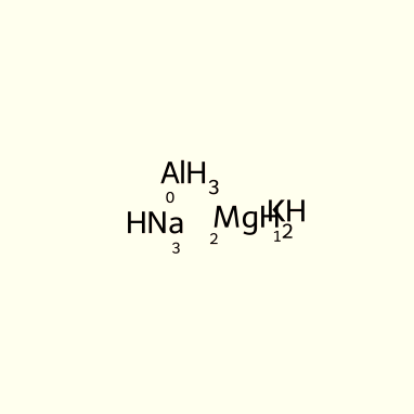 [AlH3].[KH].[MgH2].[NaH]